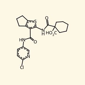 O=C(Nc1ccc(Cl)nc1)c1c(NC(=O)C2(C(=O)O)CCCCC2)sc2c1CCC2